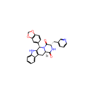 O=C1N[C@@H](Cc2cccnc2)C(=O)N2[C@H](c3ccc4c(c3)OCO4)c3[nH]c4ccccc4c3C[C@H]12